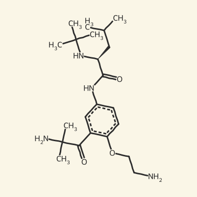 CC(C)C[C@H](NC(C)(C)C)C(=O)Nc1ccc(OCCN)c(C(=O)C(C)(C)N)c1